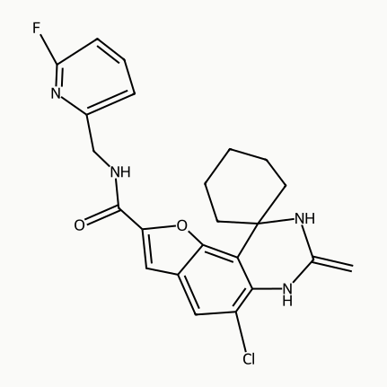 C=C1Nc2c(Cl)cc3cc(C(=O)NCc4cccc(F)n4)oc3c2C2(CCCCC2)N1